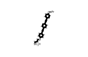 CCCOc1ccc(C#Cc2ccc(C#Cc3ccc(OCCCS(=O)(=O)O)cc3)cc2)cc1